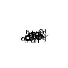 C[C@@H]1C[C@H]2[C@@H]3C[C@H](F)C4=CC(=O)C=C[C@]4(C)[C@H]3[C@@H](O)C[C@]2(C)[C@@]1(O)C(=O)CF